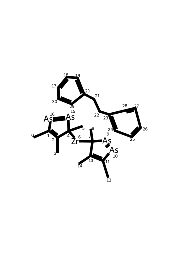 CC1=C(C)[C](C)([Zr][C]2(C)[As]=[As]C(C)=C2C)[As]=[As]1.c1ccc(CCc2ccccc2)cc1